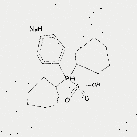 O=S(=O)(O)[PH](c1ccccc1)(C1CCCCC1)C1CCCCC1.[NaH]